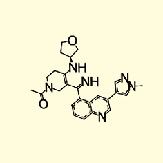 CC(=O)N1CCC(N[C@H]2CCOC2)=C(C(=N)c2cccc3ncc(-c4cnn(C)c4)cc23)C1